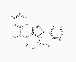 CN(C(=O)c1cnn(-c2ncccn2)c1C(F)F)c1cccnc1